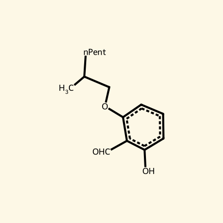 CCCCCC(C)COc1cccc(O)c1C=O